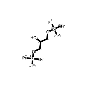 CC(C)[Si](OCC(O)CO[Si](C(C)C)(C(C)C)C(C)C)(C(C)C)C(C)C